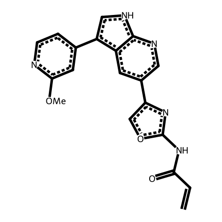 C=CC(=O)Nc1nc(-c2cnc3[nH]cc(-c4ccnc(OC)c4)c3c2)co1